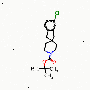 CC(C)(C)OC(=O)N1CCC2(CC1)Cc1ccc(Cl)cc1C2